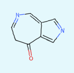 O=C1CC=NC=C2C=NC=C12